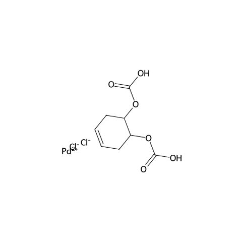 O=C(O)OC1CC=CCC1OC(=O)O.[Cl-].[Cl-].[Pd+2]